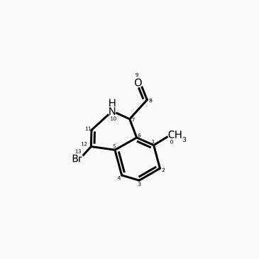 Cc1cccc2c1C(C=O)NC=C2Br